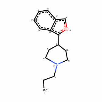 CC(=O)CCN1CCC(c2occ3ccccc23)CC1